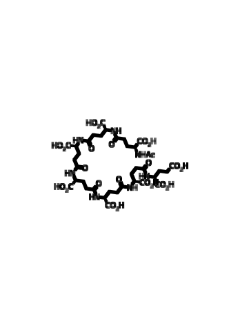 CC(=O)N[C@@H](CCC(=O)N[C@@H](CCC(=O)N[C@@H](CCC(=O)N[C@@H](CCC(=O)N[C@@H](CCC(=O)N[C@@H](CCC(=O)N[C@@H](CCC(=O)O)C(=O)O)C(=O)O)C(=O)O)C(=O)O)C(=O)O)C(=O)O)C(=O)O